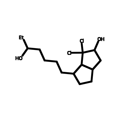 CCC(O)CCCCC1CCC2CC(O)C(Cl)(Cl)C12